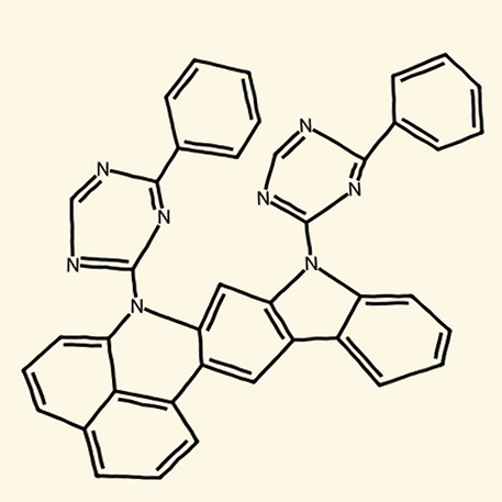 c1ccc(-c2ncnc(N3c4cc5c(cc4-c4cccc6cccc3c46)c3ccccc3n5-c3ncnc(-c4ccccc4)n3)n2)cc1